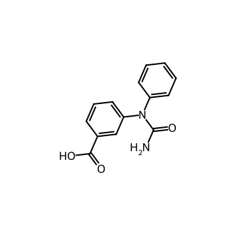 NC(=O)N(c1ccccc1)c1cccc(C(=O)O)c1